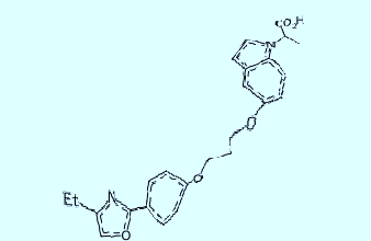 CCc1coc(-c2ccc(OCCCOc3ccc4c(ccn4C(C)C(=O)O)c3)cc2)n1